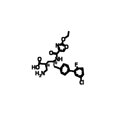 CCOc1nc(C(=O)N[C@H](Cc2ccc(-c3cc(Cl)ccc3F)cc2)C[C@@H](CN)C(=O)O)co1